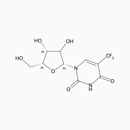 O=c1[nH]c(=O)n([C@@H]2O[C@H](CO)[C@H](O)C2O)cc1C(F)(F)F